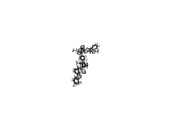 O=C(N[C@H](Cc1c[nH]c2ccccc12)C(=O)O)c1ccc(-c2ncc(C(=O)Nc3cccc(Oc4ccccc4)c3)s2)cc1